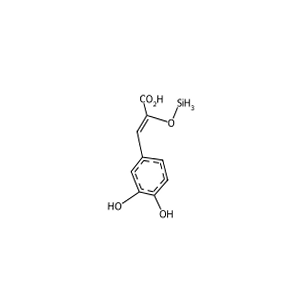 O=C(O)C(=Cc1ccc(O)c(O)c1)O[SiH3]